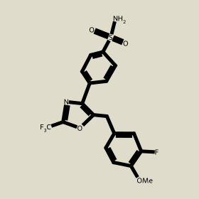 COc1ccc(Cc2oc(C(F)(F)F)nc2-c2ccc(S(N)(=O)=O)cc2)cc1F